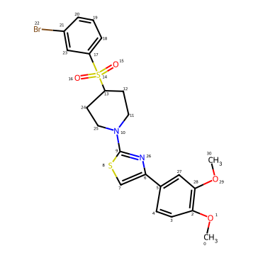 COc1ccc(-c2csc(N3CCC(S(=O)(=O)c4cccc(Br)c4)CC3)n2)cc1OC